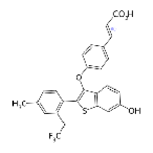 Cc1ccc(-c2sc3cc(O)ccc3c2Oc2ccc(/C=C/C(=O)O)cc2)c(CC(F)(F)F)c1